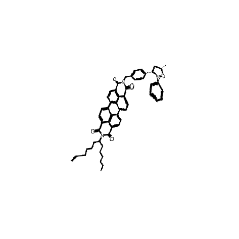 CCCCCCC(CCCCCC)N1C(=O)c2ccc3c4ccc5c6c(ccc(c7ccc(c2c37)C1=O)c64)C(=O)N(Cc1ccc([C@@H]2C[C@H](C)ON2c2ccccc2)cc1)C5=O